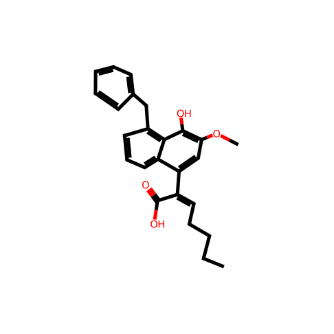 CCCCC=C(C(=O)O)c1cc(OC)c(O)c2c(Cc3ccccc3)cccc12